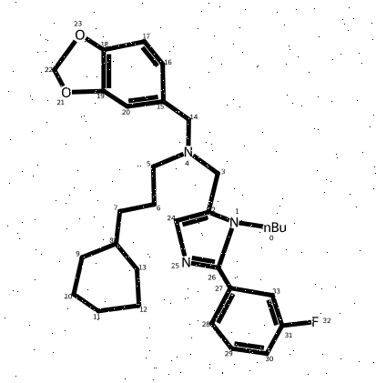 CCCCn1c(CN(CCCC2CCCCC2)Cc2ccc3c(c2)OCO3)cnc1-c1cccc(F)c1